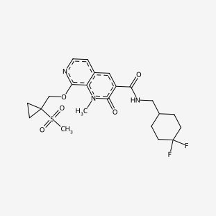 Cn1c(=O)c(C(=O)NCC2CCC(F)(F)CC2)cc2ccnc(OCC3(S(C)(=O)=O)CC3)c21